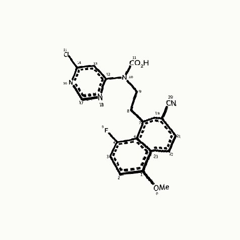 COc1ccc(F)c2c(CCN(C(=O)O)c3cc(Cl)ncn3)c(C#N)ccc12